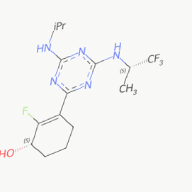 CC(C)Nc1nc(N[C@@H](C)C(F)(F)F)nc(C2=C(F)[C@@H](O)CCC2)n1